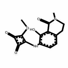 COc1c(Nc2ccc3c(c2O)C(=O)N(C)CC3)c(=O)c1=O